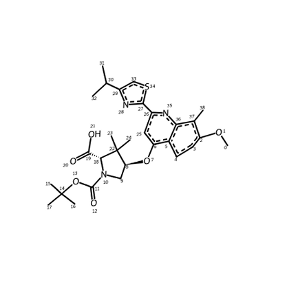 COc1ccc2c(O[C@H]3CN(C(=O)OC(C)(C)C)[C@H](C(=O)O)C3(C)C)cc(-c3nc(C(C)C)cs3)nc2c1C